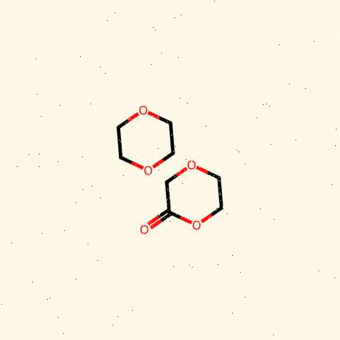 C1COCCO1.O=C1COCCO1